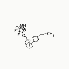 CCCCc1ccc(C23CC4CC(CC(COC(=O)C(F)(F)S(=O)(=O)O)(C4)C2)C3)cc1